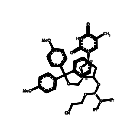 [C-]#[N+]CCOP(OC1C[C@H](n2cc(C)c(=O)[nH]c2=O)O[C@@H]1COC(c1ccccc1)(c1ccc(OC)cc1)c1ccc(OC)cc1)N(C(C)C)C(C)C